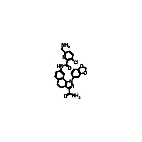 NCc1ccc(Cl)c(C(=O)Nc2ccc3c(c2)-c2c(c(C(N)=O)nn2-c2ccc4c(c2)OCO4)CC3)n1